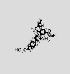 CCCOC(=O)c1ccc(C(Oc2cc(N3CCC4(CC3)CN[C@H](C(=O)O)C4)nc(N)n2)C(F)(F)F)c(-n2ccc(C)n2)c1